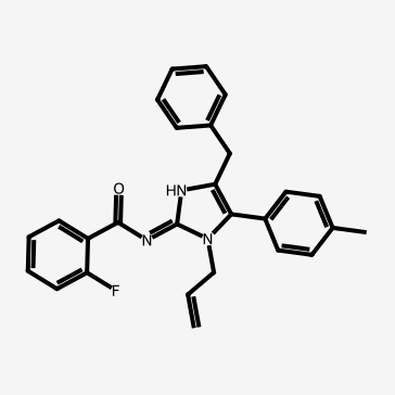 C=CCn1c(-c2ccc(C)cc2)c(Cc2ccccc2)[nH]/c1=N\C(=O)c1ccccc1F